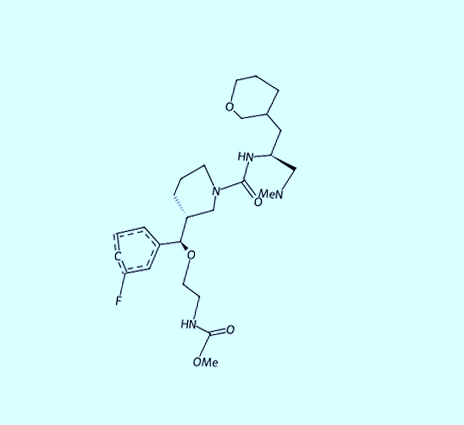 CNC[C@H](CC1CCCOC1)NC(=O)N1CCC[C@@H]([C@@H](OCCNC(=O)OC)c2cccc(F)c2)C1